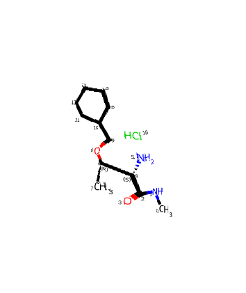 CNC(=O)[C@@H](N)[C@@H](C)OCC1CCCCC1.Cl